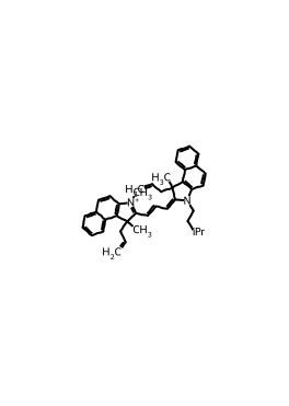 C=CCC1(C)C(/C=C/C=C2/N(CCC(C)C)c3ccc4ccccc4c3C2(C)CC=C)=[N+](C)c2ccc3ccccc3c21